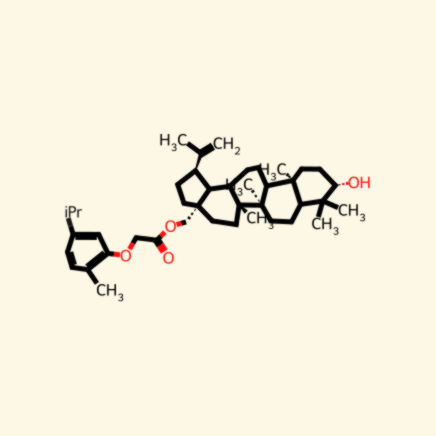 C=C(C)[C@@H]1CC[C@]2(COC(=O)COc3cc(C(C)C)ccc3C)CC[C@]3(C)C(CCC4[C@@]5(C)CC[C@H](O)C(C)(C)C5CC[C@]43C)C12